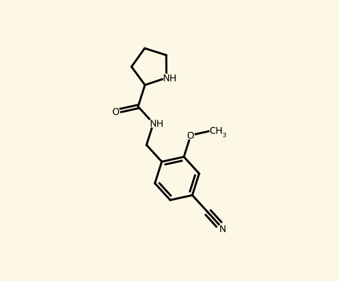 COc1cc(C#N)ccc1CNC(=O)C1CCCN1